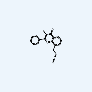 Cc1c(-c2ccccc2)oc2c(CN=[N+]=[N-])cccc2c1=O